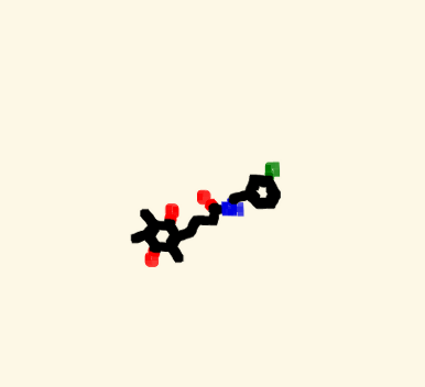 CC1=C(C)C(=O)C(CCCC(=O)NCc2cccc(Cl)c2)=C(C)C1=O